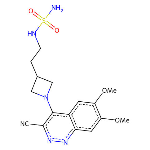 COc1cc2nnc(C#N)c(N3CC(CCNS(N)(=O)=O)C3)c2cc1OC